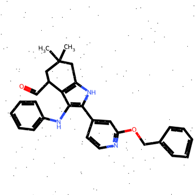 CC1(C)Cc2[nH]c(-c3ccnc(OCc4ccccc4)c3)c(Nc3ccccc3)c2C(C=O)C1